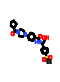 CCS(=O)(=O)c1ccc(C(CO)NC(=O)c2ccc(N3CCN(C(=O)C4CCCC4)CC3)cc2)cc1